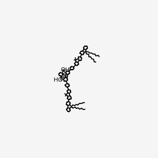 CCCCCCCCC1(CCCCCCCC)c2ccccc2-c2ccc(-c3ccc4c(c3)C(C)(C)c3cc(-c5ccc(-c6cc7c8c(c6)c6cc(-c9ccc(-c%10ccc%11c(c%10)C(C)(C)c%10cc(-c%12ccc%13c(c%12)C(CCCCCCCC)(CCCCCCCC)c%12ccccc%12-%13)ccc%10-%11)cc9)cc9c6n8-c6c(cccc6B9O)B7O)cc5)ccc3-4)cc21